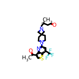 CC(=O)c1csc2c(C(F)(F)F)cc(N3CCC4(CC3)CN(C[C@@H](C)CC=O)C4)nc12